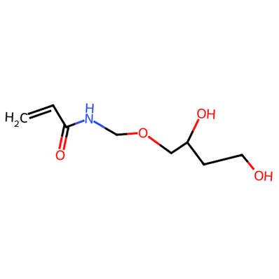 C=CC(=O)NCOCC(O)CCO